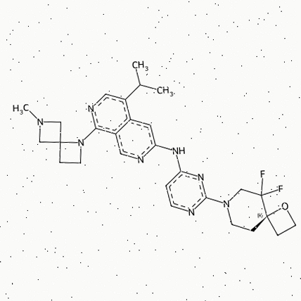 CC(C)c1cnc(N2CCC23CN(C)C3)c2cnc(Nc3ccnc(N4CC[C@@]5(CCO5)C(F)(F)C4)n3)cc12